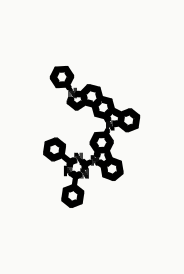 c1ccc(-c2nc(-c3ccccc3)nc(-n3c4ccccc4c4cc(-n5c6ccccc6c6cc7ccc8c(ccn8-c8ccccc8)c7cc65)ccc43)n2)cc1